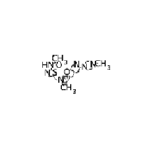 CC(=O)Nc1ncc(CN2C[C@@]3(Cc4cc(N5CCN(C)CC5)ncc4O3)C[C@@H]2C)s1